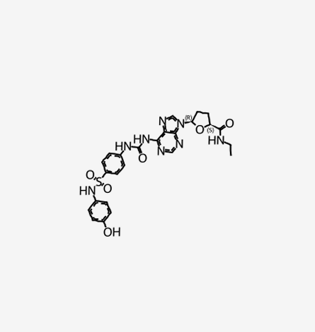 CCNC(=O)[C@@H]1CC[C@H](n2cnc3c(NC(=O)Nc4ccc(S(=O)(=O)Nc5ccc(O)cc5)cc4)ncnc32)O1